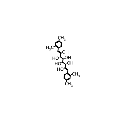 Cc1ccc(C=C(O)[C@@H](O)[C@@H](O)[C@H](O)[C@@H](O)C(O)=Cc2ccc(C)cc2C)c(C)c1